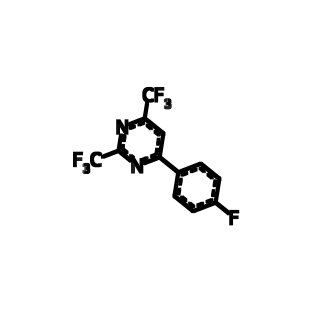 Fc1ccc(-c2cc(C(F)(F)F)nc(C(F)(F)F)n2)cc1